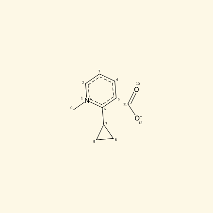 C[n+]1ccccc1C1CC1.O=C[O-]